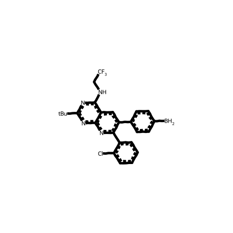 Bc1ccc(-c2cc3c(NCC(F)(F)F)nc(C(C)(C)C)nc3nc2-c2ccccc2Cl)cc1